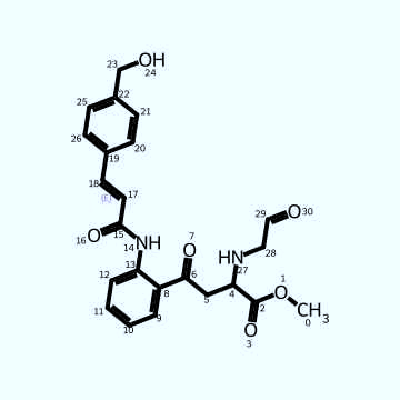 COC(=O)C(CC(=O)c1ccccc1NC(=O)/C=C/c1ccc(CO)cc1)NCC=O